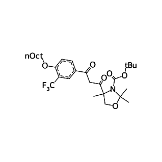 CCCCCCCCOc1ccc(C(=O)CC(=O)C2(C)COC(C)(C)N2C(=O)OC(C)(C)C)cc1C(F)(F)F